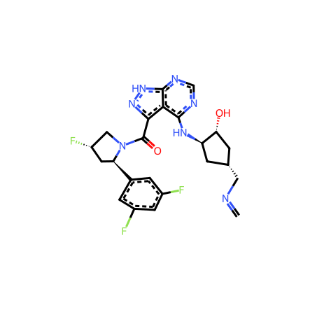 C=NC[C@H]1C[C@@H](O)[C@H](Nc2ncnc3[nH]nc(C(=O)N4C[C@@H](F)C[C@@H]4c4cc(F)cc(F)c4)c23)C1